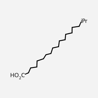 CC(C)CCCCCCCCCCCCCCCC(=O)O